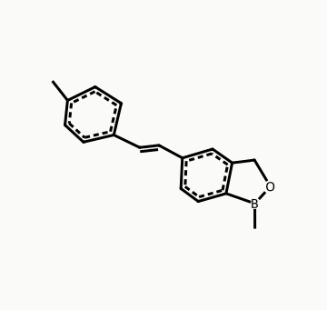 CB1OCc2cc(/C=C/c3ccc(C)cc3)ccc21